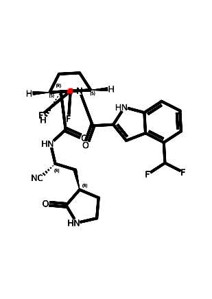 N#C[C@@H](C[C@H]1CCNC1=O)NC(=O)[C@H]1[C@@H]2CC[C@@H](CC2(F)F)N1C(=O)c1cc2c(C(F)F)cccc2[nH]1